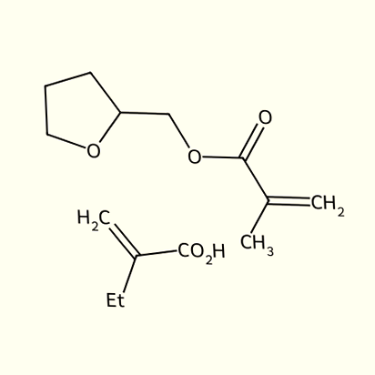 C=C(C)C(=O)OCC1CCCO1.C=C(CC)C(=O)O